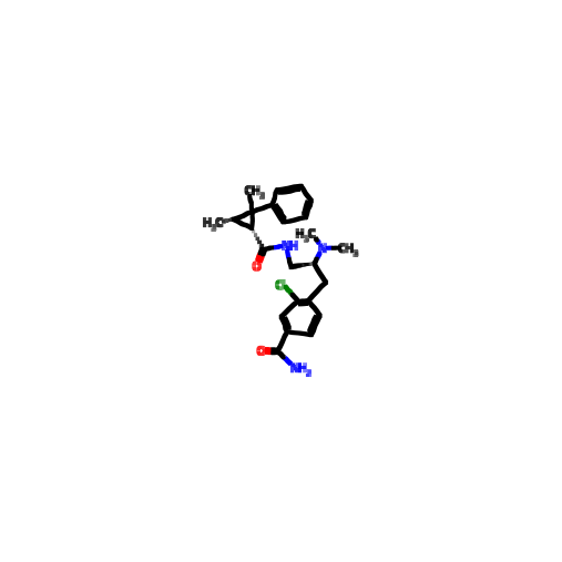 C[C@H]1[C@@H](C(=O)NC[C@H](Cc2ccc(C(N)=O)cc2Cl)N(C)C)C1(C)c1ccccc1